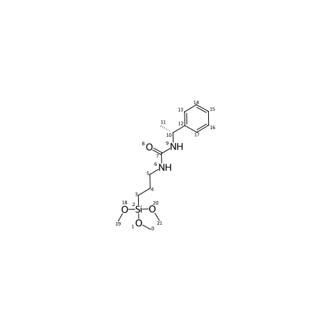 CO[Si](CCCNC(=O)N[C@H](C)c1ccccc1)(OC)OC